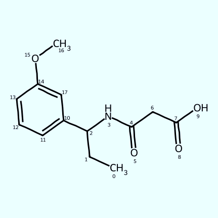 CCC(NC(=O)CC(=O)O)c1cccc(OC)c1